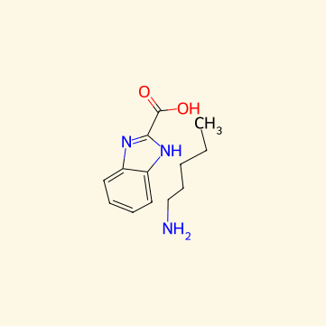 CCCCCN.O=C(O)c1nc2ccccc2[nH]1